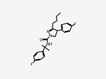 CCCCC1=NN(C(=O)NC(C)(C)c2ccc(F)cc2)CC1c1ccc(F)cc1